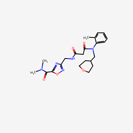 Cc1ccccc1N(CC1CCOCC1)C(=O)CC(=O)NCc1noc(C(=O)N(C)C)n1